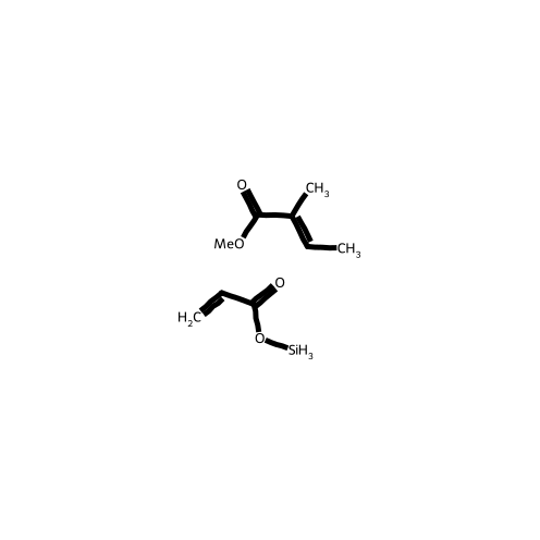 C=CC(=O)O[SiH3].CC=C(C)C(=O)OC